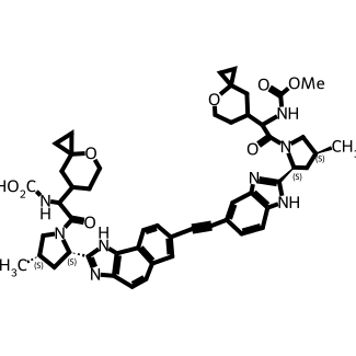 COC(=O)NC(C(=O)N1C[C@@H](C)C[C@H]1c1nc2cc(C#Cc3ccc4c(ccc5nc([C@@H]6C[C@H](C)CN6C(=O)C(NC(=O)O)C6CCOC7(CC7)C6)[nH]c54)c3)ccc2[nH]1)C1CCOC2(CC2)C1